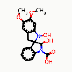 COc1cc2c(cc1OC)N(O)C1(C2)c2ccccc2N(C(=O)O)C1O